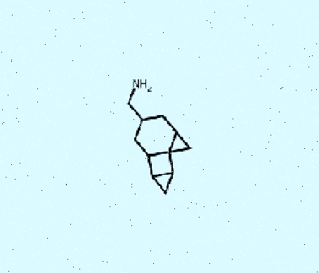 NCC1CC2CC23C(C1)C1CC13